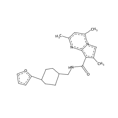 Cc1cc(C)n2cc(C)c(C(=O)NCC3CCC(c4ccco4)CC3)c2n1